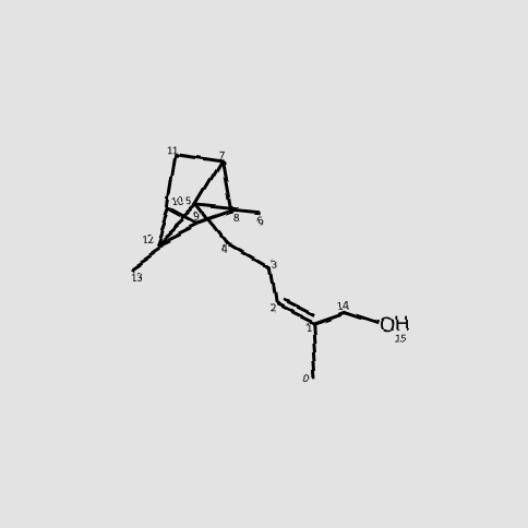 C/C(=C/CCC1(C)C2CC3C(C2)C31C)CO